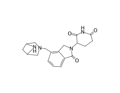 O=C1CCC(N2Cc3c(CN4CC5CC(C4)N5)cccc3C2=O)C(=O)N1